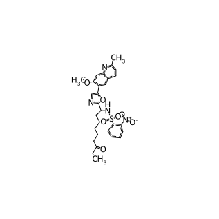 CCC(=O)CCCCC[C@H](NS(=O)(=O)c1ccccc1[N+](=O)[O-])c1ncc(-c2cc3ccc(C)nc3cc2OC)o1